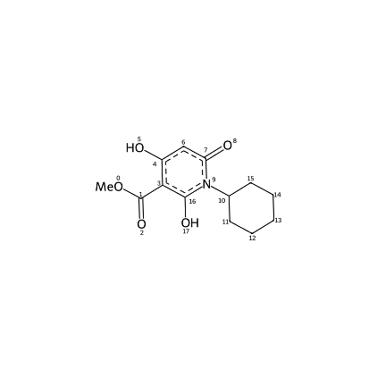 COC(=O)c1c(O)cc(=O)n(C2CCCCC2)c1O